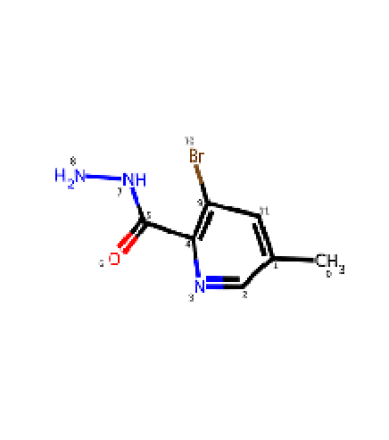 Cc1cnc(C(=O)NN)c(Br)c1